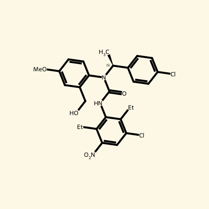 CCc1c(Cl)cc([N+](=O)[O-])c(CC)c1NC(=O)N(c1ccc(OC)cc1CO)[C@@H](C)c1ccc(Cl)cc1